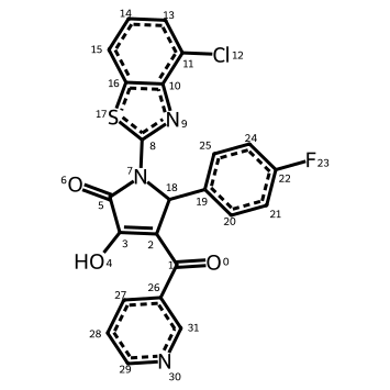 O=C(C1=C(O)C(=O)N(c2nc3c(Cl)cccc3s2)C1c1ccc(F)cc1)c1cccnc1